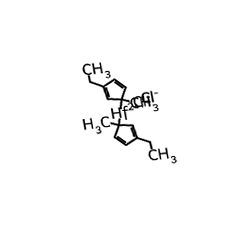 CCC1=C[C](C)([Hf+2][C]2(C)C=CC(CC)=C2)C=C1.[Cl-].[Cl-]